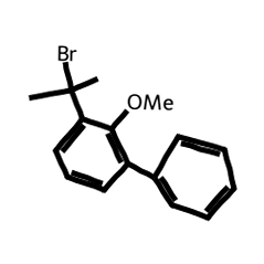 COc1c(-c2ccccc2)cccc1C(C)(C)Br